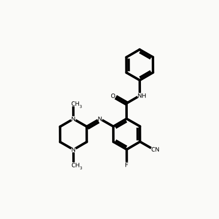 CN1CCN(C)C(=Nc2cc(F)c(C#N)cc2C(=O)Nc2ccccc2)C1